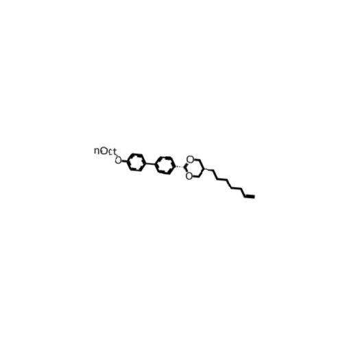 C=CCCCCC[C@H]1CO[C@H](c2ccc(-c3ccc(OCCCCCCCC)cc3)cc2)OC1